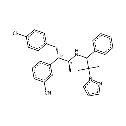 C[C@H](NC(c1ccccc1)C(C)(C)n1cccn1)[C@@H](Cc1ccc(Cl)cc1)c1cccc(C#N)c1